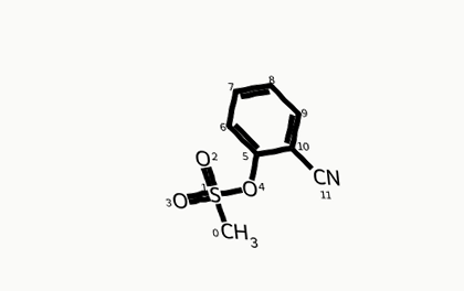 CS(=O)(=O)Oc1c[c]ccc1C#N